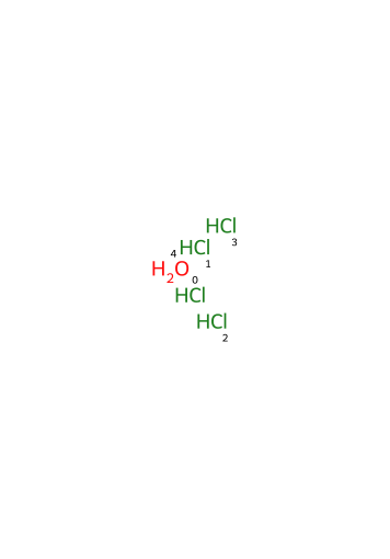 Cl.Cl.Cl.Cl.O